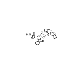 Nc1ncc(CC[C@H](NC(=O)[C@@H]2CCC3CC[C@@](N)(Cc4ccccc4)C(=O)N32)C(=O)c2nc3ccccc3[nH]2)[nH]1